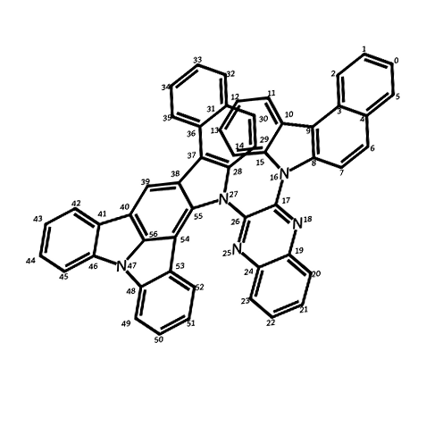 c1ccc2c(c1)ccc1c2c2ccccc2n1-c1nc2ccccc2nc1-n1c2ccc3ccccc3c2c2cc3c4ccccc4n4c5ccccc5c(c21)c34